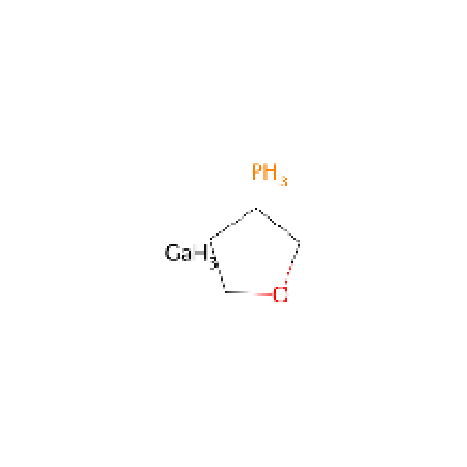 C1CCOC1.P.[GaH3]